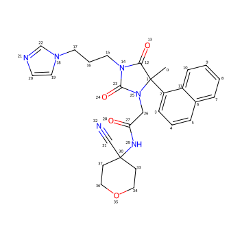 CC1(c2cccc3ccccc23)C(=O)N(CCCn2ccnc2)C(=O)N1CC(=O)NC1(C#N)CCOCC1